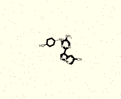 N#Cc1ccn2ncc(-c3ncc(N)c(N[C@H]4CC[C@H](O)CC4)n3)c2c1